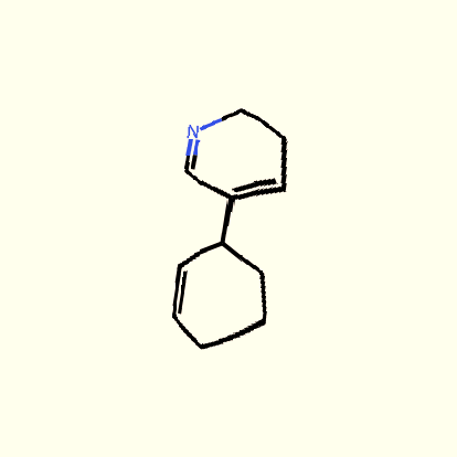 C1=CC(C2=CCCN=C2)CCC1